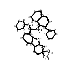 CC1(C)CCC2C(N1)OC1C(C(NC3CCCCC3)NC3C4CCCCC4CCC3C3CCCCC3)CCCC21